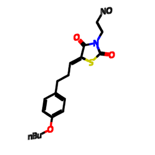 CCCCOc1ccc(CC/C=C2\SC(=O)N(CCN=O)C2=O)cc1